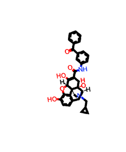 O=C(Nc1cccc(C(=O)c2ccccc2)c1)C1=C(O)[C@@H]2Oc3c(O)ccc4c3[C@@]23CCN(CC2CC2)[C@H](C4)[C@]3(O)C1